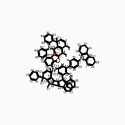 CC1C=CC2(C)C3=C1C(C)c1oc4c(N5c6cc(-c7ccc(-n8c9c(c%10c8C=CCC%10)CCC=C9)cc7)c7c(c6)C6(C8=CCCC=C8S7)C7=C(c8ccccc86)C(C)C6=C(C7C)C5(C)C=CC6(C)c5ccccc5)cccc4c1C3(C)N(c1ccccc1)c1ccccc12